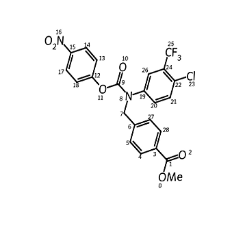 COC(=O)c1ccc(CN(C(=O)Oc2ccc([N+](=O)[O-])cc2)c2ccc(Cl)c(C(F)(F)F)c2)cc1